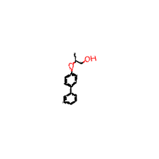 C[C@@H](CO)Oc1ccc(-c2ccccc2)cc1